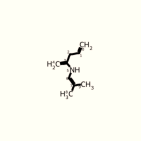 C=CCC(=C)NC=C(C)C